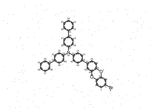 Brc1ccc2c(c1)Oc1ccc(-c3ccc(N(c4ccc(-c5ccccc5)cc4)c4ccc(-c5ccccc5)cc4)cc3)cc1O2